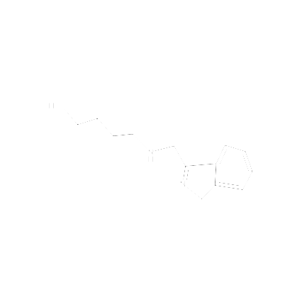 CCCCCNCC1=NCc2ccccc21